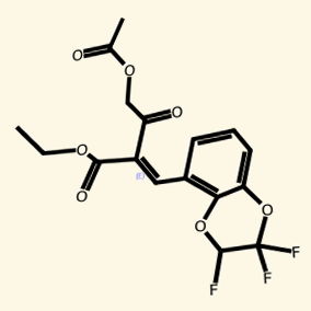 CCOC(=O)/C(=C/c1cccc2c1OC(F)C(F)(F)O2)C(=O)COC(C)=O